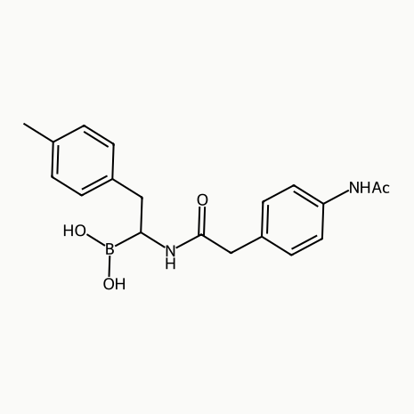 CC(=O)Nc1ccc(CC(=O)NC(Cc2ccc(C)cc2)B(O)O)cc1